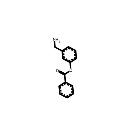 NCc1cccc(OC(=O)c2ccccc2)c1